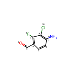 Nc1ccc(C=O)c(F)c1Cl